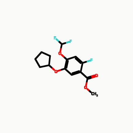 COC(=O)c1cc(OC2CCCC2)c(OC(F)F)cc1F